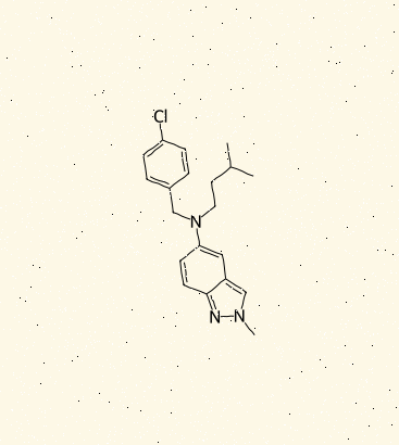 CC(C)CCN(Cc1ccc(Cl)cc1)c1ccc2nn(C)cc2c1